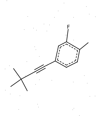 Cc1ccc(C#CC(C)(C)C)cc1F